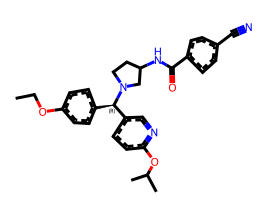 CCOc1ccc([C@H](c2ccc(OC(C)C)nc2)N2CCC(NC(=O)c3ccc(C#N)cc3)C2)cc1